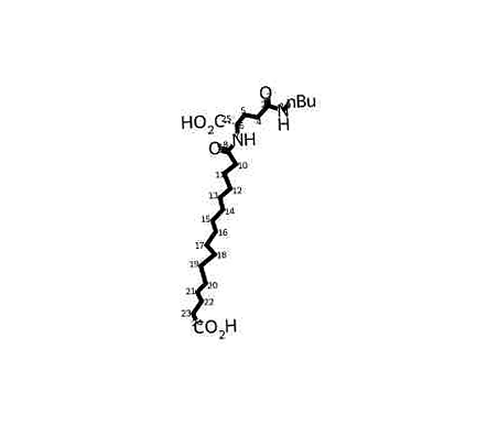 CCCCNC(=O)CC[C@H](NC(=O)CCCCCCCCCCCCCCC(=O)O)C(=O)O